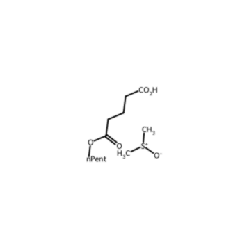 CCCCCOC(=O)CCCC(=O)O.C[S+](C)[O-]